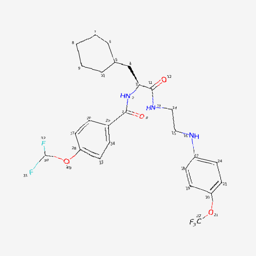 O=C(N[C@@H](CC1CCCCC1)C(=O)NCCNc1ccc(OC(F)(F)F)cc1)c1ccc(OC(F)F)cc1